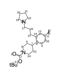 CC(C)(C)OC(=O)N1CCC(c2ccc(F)cc2CCCN2CCCC2)CC1